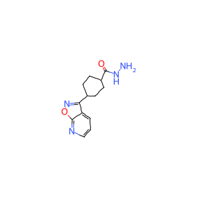 NNC(=O)C1CCC(c2noc3ncccc23)CC1